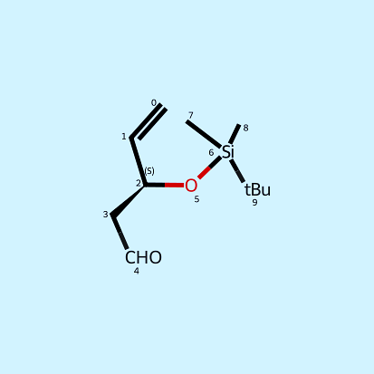 C=C[C@H](CC=O)O[Si](C)(C)C(C)(C)C